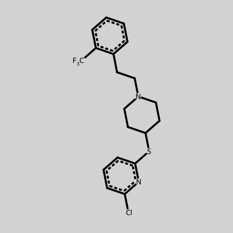 FC(F)(F)c1ccccc1CCN1CCC(Sc2cccc(Cl)n2)CC1